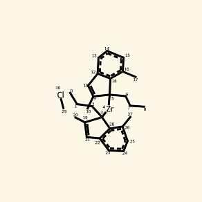 CCC[C]1([Zr][C]2(CCC)C(C)=Cc3cccc(C)c32)C(C)=Cc2cccc(C)c21.CCl